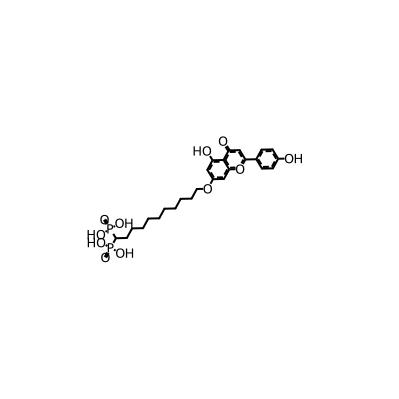 O=c1cc(-c2ccc(O)cc2)oc2cc(OCCCCCCCCCCC(P(=O)(O)O)P(=O)(O)O)cc(O)c12